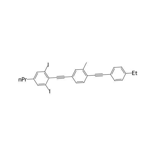 CCCc1cc(I)c(C#Cc2ccc(C#Cc3ccc(CC)cc3)c(C)c2)c(I)c1